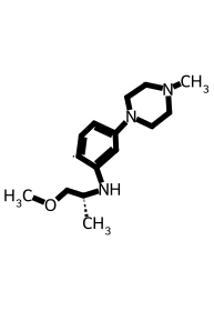 COC[C@@H](C)Nc1[c]ccc(N2CCN(C)CC2)c1